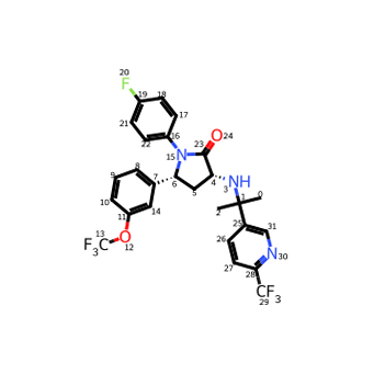 CC(C)(N[C@@H]1C[C@H](c2cccc(OC(F)(F)F)c2)N(c2ccc(F)cc2)C1=O)c1ccc(C(F)(F)F)nc1